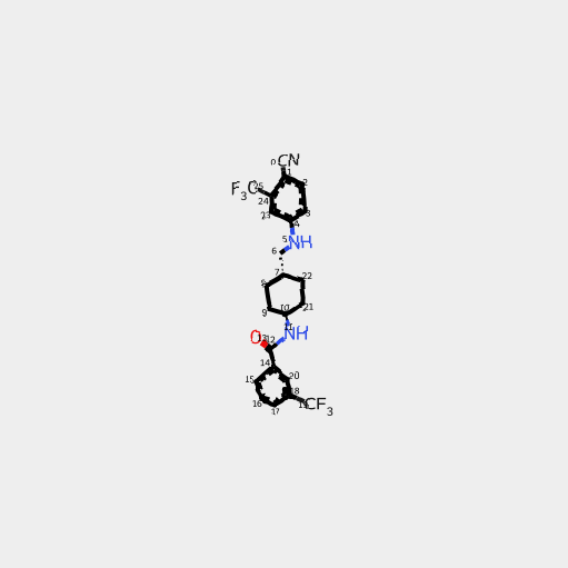 N#Cc1ccc(NC[C@H]2CC[C@H](NC(=O)c3cccc(C(F)(F)F)c3)CC2)cc1C(F)(F)F